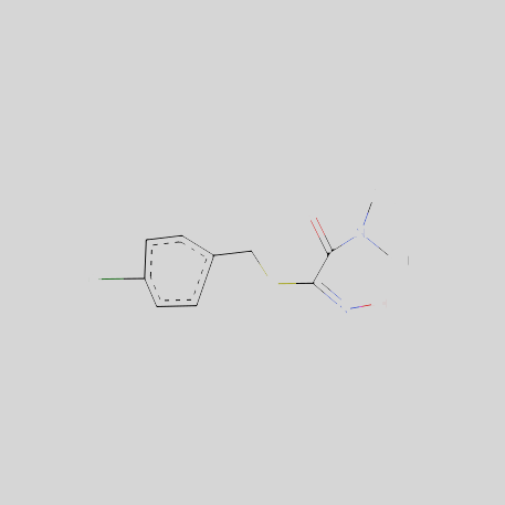 CN(C)C(=O)/C(=N\O)SCc1ccc(Cl)cc1